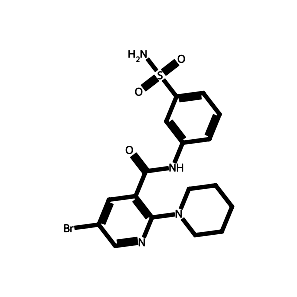 NS(=O)(=O)c1cccc(NC(=O)c2cc(Br)cnc2N2CCCCC2)c1